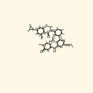 Cn1ccc(Nc2nc(N)nc(-c3cccc(N4CCc5cc(C6CC6)cc(F)c5C4=O)c3CO)n2)cc1=O